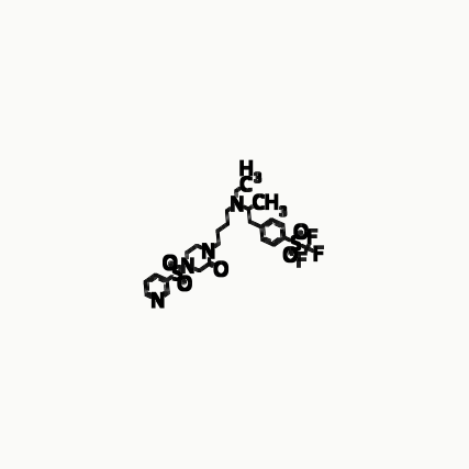 CCN(CCCCN1CCN(S(=O)(=O)c2cccnc2)CC1=O)C(C)Cc1ccc(S(=O)(=O)C(F)(F)F)cc1